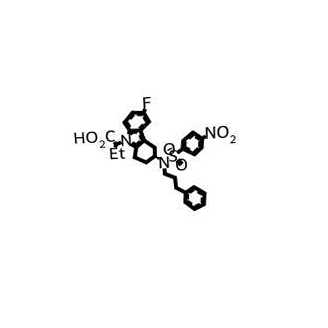 CCC(C(=O)O)n1c2c(c3cc(F)ccc31)C[C@@H](N(CCCc1ccccc1)S(=O)(=O)c1ccc([N+](=O)[O-])cc1)CC2